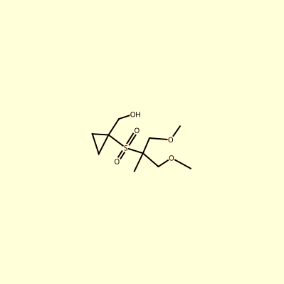 COCC(C)(COC)S(=O)(=O)C1(CO)CC1